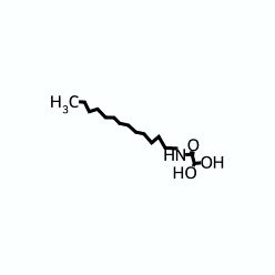 CCCCCCCCCCCCCCNC(=O)C(O)O